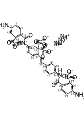 Nc1ccc(C(=O)NC2=CC=C(C=Cc3ccc(NC(=O)c4ccc(N)cc4S(=O)(=O)[O-])cc3)C(S(=O)(=O)[O-])(S(=O)(=O)[O-])C2)c(S(=O)(=O)[O-])c1.[Na+].[Na+].[Na+].[Na+]